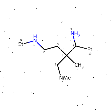 CCNCCC(C)(CNC)C(N)CC